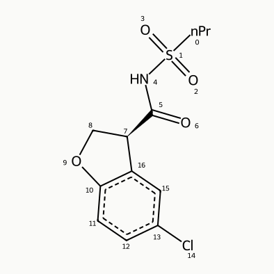 CCCS(=O)(=O)NC(=O)[C@@H]1COc2ccc(Cl)cc21